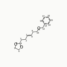 C(=CCCC1OCCO1)CCOCc1ccccc1